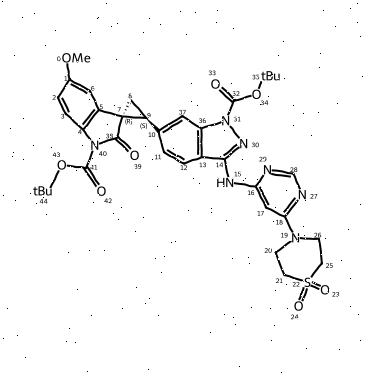 COc1ccc2c(c1)[C@]1(C[C@H]1c1ccc3c(Nc4cc(N5CCS(=O)(=O)CC5)ncn4)nn(C(=O)OC(C)(C)C)c3c1)C(=O)N2C(=O)OC(C)(C)C